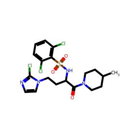 CC1CCN(C(=O)C(CCn2ccnc2Cl)NS(=O)(=O)c2c(Cl)cccc2Cl)CC1